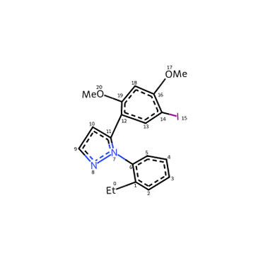 CCc1ccccc1-n1nccc1-c1cc(I)c(OC)cc1OC